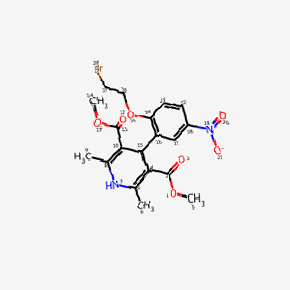 COC(=O)C1=C(C)NC(C)=C(C(=O)OC)C1c1cc([N+](=O)[O-])ccc1OCCBr